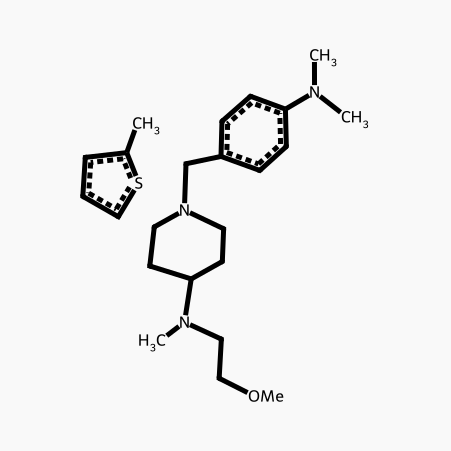 COCCN(C)C1CCN(Cc2ccc(N(C)C)cc2)CC1.Cc1cccs1